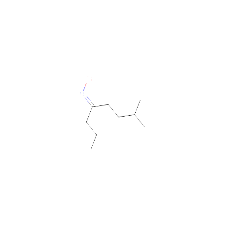 CCC/C(CCC(C)C)=N/O